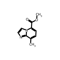 COC(=O)c1ccc(C)c2nccn12